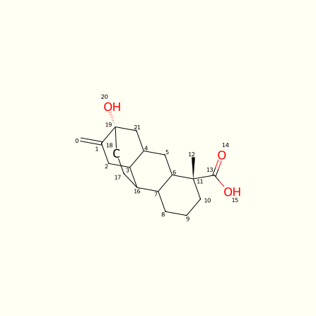 C=C1CC2C3CC4C(CCC[C@@]4(C)C(=O)O)C2CC[C@]1(O)C3